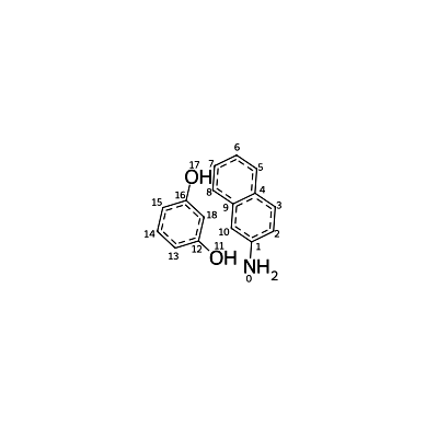 Nc1ccc2ccccc2c1.Oc1cccc(O)c1